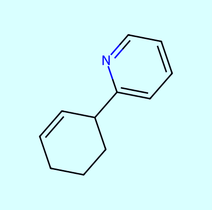 C1=CC(c2ccccn2)CCC1